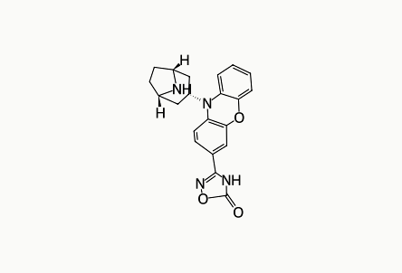 O=c1[nH]c(-c2ccc3c(c2)Oc2ccccc2N3[C@H]2C[C@H]3CC[C@@H](C2)N3)no1